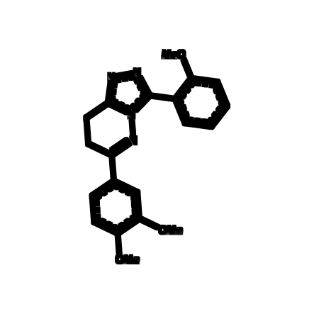 COc1ccc(C2=Nn3c(nnc3-c3ccccc3OC)CC2)cc1OC